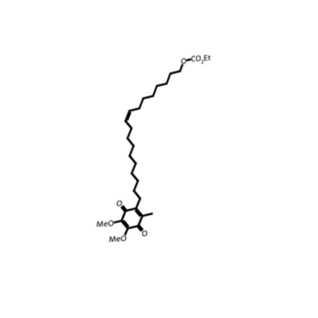 [CH2]COC(=O)OCCCCCCC/C=C\CCCCCCCCCC1=C(C)C(=O)C(OC)=C(OC)C1=O